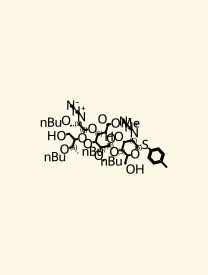 CCCCOC[C@H](N=[N+]=[N-])[C@H](OC(CO)[C@H](C)OCCCC)O[C@@H]1C(C(=O)OC)O[C@@H](O[C@@H]2C(CO)O[C@@H](Sc3ccc(C)cc3)[C@@H](N=[N+]=[N-])C2O)[C@@H](OCCCC)C1OCCCC